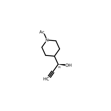 C#C[C@H](O)C1CCN(C(C)=O)CC1